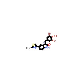 Cc1nc(-c2ccc3c(c2)/C(=C/c2cc(Br)c(O)c(Br)c2)C(=O)N3)cs1